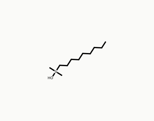 CCCCCCCCC[Si](C)(C)O